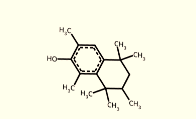 Cc1cc2c(c(C)c1O)C(C)(C)C(C)CC2(C)C